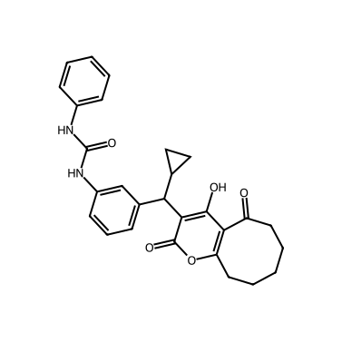 O=C(Nc1ccccc1)Nc1cccc(C(c2c(O)c3c(oc2=O)CCCCCC3=O)C2CC2)c1